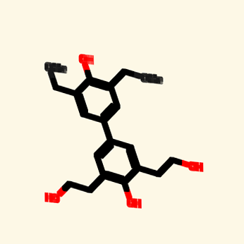 COCc1cc(-c2cc(CCO)c(O)c(CCO)c2)cc(COC)c1O